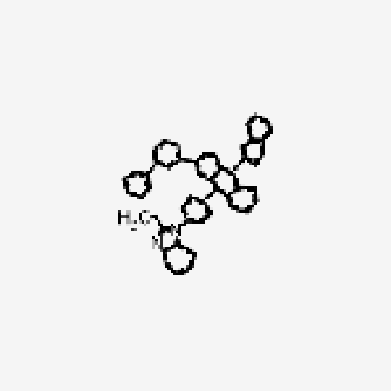 CCc1nc2ccccc2n1-c1ccc(-c2c3ccccc3c(-c3ccc4ccccc4c3)c3ccc(-c4cccc(-c5ccccc5)c4)cc23)cc1